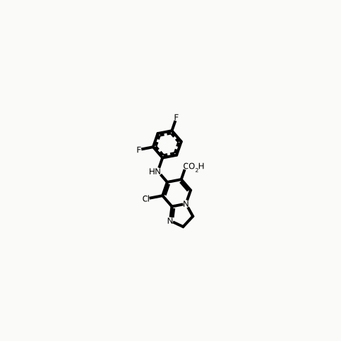 O=C(O)C1=CN2CCN=C2C(Cl)=C1Nc1ccc(F)cc1F